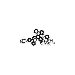 COc1cc2c3c(c4c(c2cc1Sc1c(C)cccc1C)-c1ccccc1C1CCCCC41)C=CC(c1ccccc1)(c1ccc(N2CCOCC2)cc1)O3